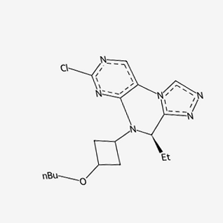 CCCCOC1CC(N2c3nc(Cl)ncc3-n3cnnc3[C@H]2CC)C1